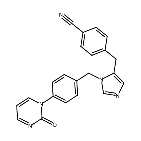 N#Cc1ccc(Cc2cncn2Cc2ccc(-n3cccnc3=O)cc2)cc1